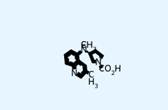 Cc1cnc2cccc(N(C)[C@H]3CCN(C(=O)O)C3)c2c1